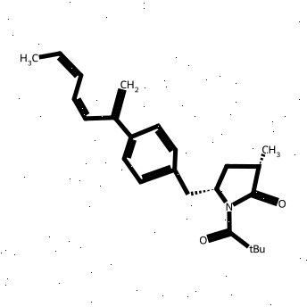 C=C(/C=C\C=C/C)c1ccc(C[C@@H]2C[C@H](C)C(=O)N2C(=O)C(C)(C)C)cc1